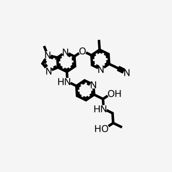 Cc1cc(C#N)ncc1Oc1cc(Nc2ccc(C(O)NCC(C)O)nc2)c2ncn(C)c2n1